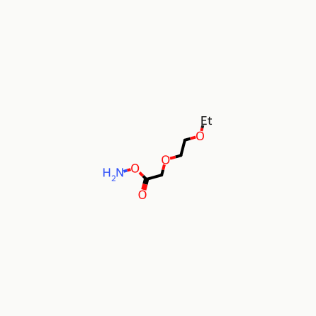 CCOCCOCC(=O)ON